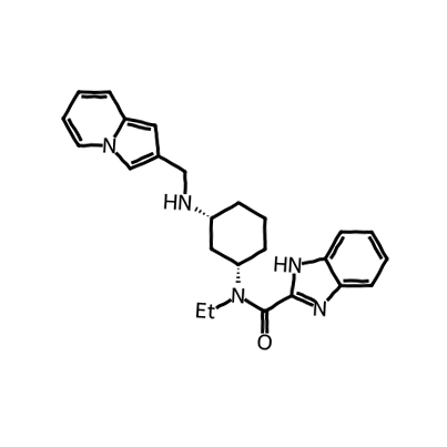 CCN(C(=O)c1nc2ccccc2[nH]1)[C@H]1CCC[C@@H](NCc2cc3ccccn3c2)C1